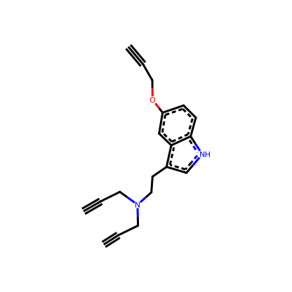 C#CCOc1ccc2[nH]cc(CCN(CC#C)CC#C)c2c1